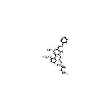 CCOC(=O)C(CCc1ccccc1)N[C@@H](CCCNC(=O)CN)C(=O)N1CCC[C@H]1C(=O)O